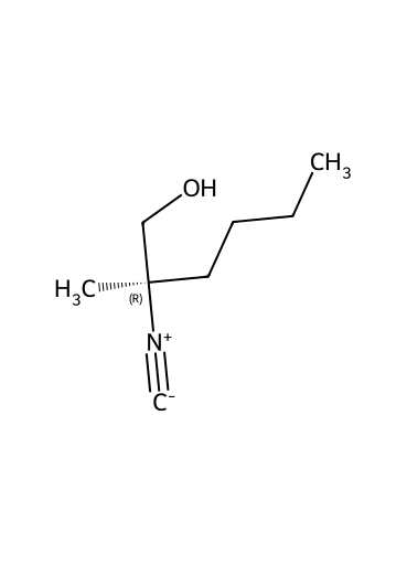 [C-]#[N+][C@@](C)(CO)CCCC